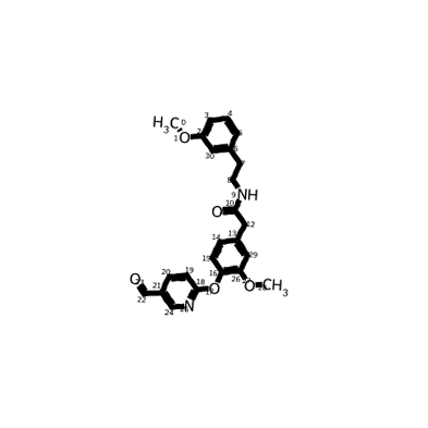 COc1cccc(CCNC(=O)Cc2ccc(Oc3ccc(C=O)cn3)c(OC)c2)c1